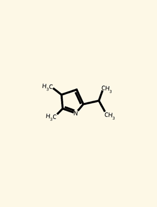 CC1=NC(C(C)C)=CC1C